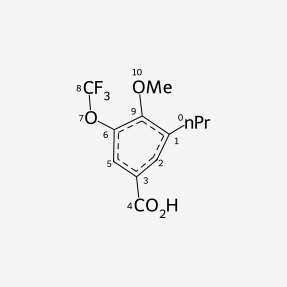 CCCc1cc(C(=O)O)cc(OC(F)(F)F)c1OC